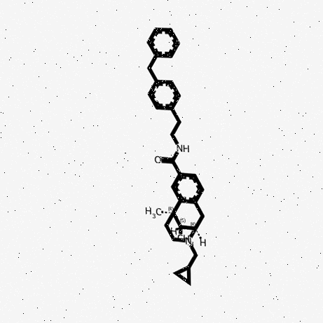 C[C@@H]1[C@H]2Cc3ccc(C(=O)NCCc4ccc(Cc5ccccc5)cc4)cc3[C@]1(C)CCN2CC1CC1